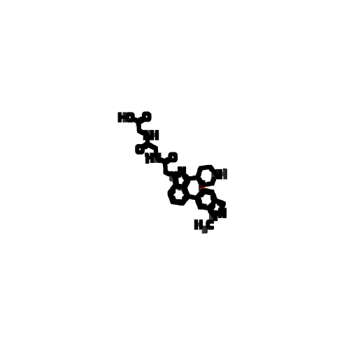 Cn1ncc2cc(F)c(-c3cccc4c3c(C3CCNCC3)nn4CC(=O)NCC(=O)NCC(=O)O)cc21